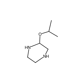 CC(C)OC1CNCCN1